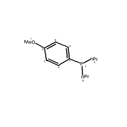 CCCP(CCC)c1ccc(OC)cc1